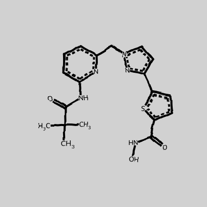 CC(C)(C)C(=O)Nc1cccc(Cn2ccc(-c3ccc(C(=O)NO)s3)n2)n1